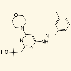 Cc1cccc(C=NNc2cc(N3CCOCC3)nc(CC(C)(C)O)n2)c1